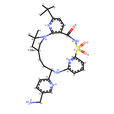 CC(C)(C)c1ccc2c(n1)N1C[C@@H](CCC(c3ccc(CN)cn3)Nc3cccc(n3)S(=O)(=O)NC2=O)CC1(C)C